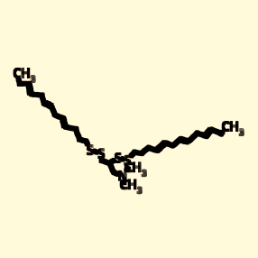 CC/C=C/C/C=C/C/C=C/CCCSSCC(CN(C)C)SSCCC/C=C/C/C=C/C/C=C/CC